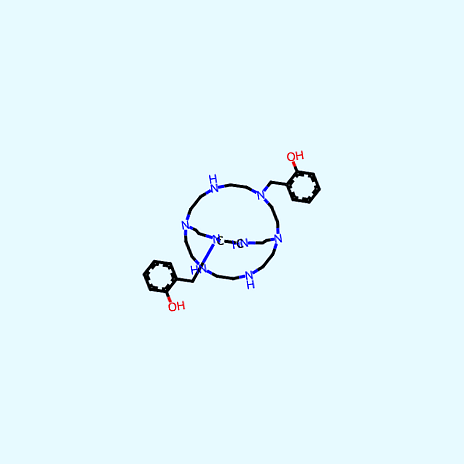 Oc1ccccc1CN1CCNCCN2CCNCCNCCN(CCNCCN(Cc3ccccc3O)CC2)CC1